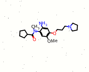 COc1cc(N(C)C(=O)C2CCCC2)c(N)cc1OCCCN1CCCC1